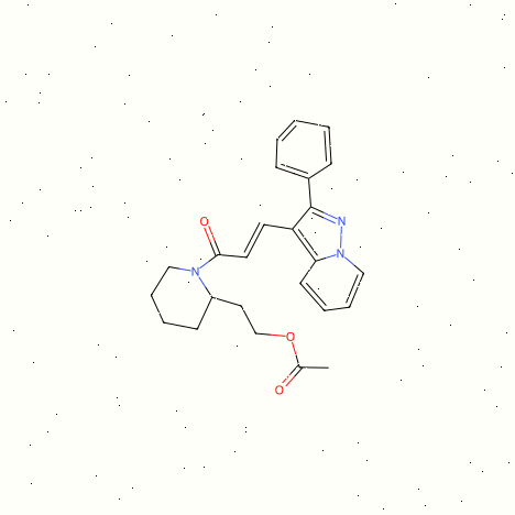 CC(=O)OCCC1CCCCN1C(=O)/C=C/c1c(-c2ccccc2)nn2ccccc12